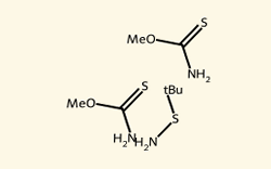 CC(C)(C)SN.COC(N)=S.COC(N)=S